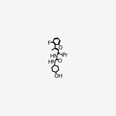 Cc1c([C@H](NC(=O)NC2CCC(O)CC2)C(C)C)oc2cccc(F)c12